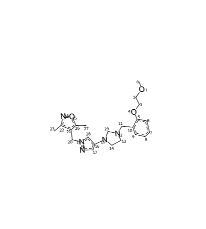 COCCOc1ccccc1CN1CCN(c2cnn(Cc3c(C)noc3C)c2)C1